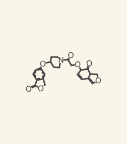 O=C1OCc2cc(OC3CCN(C(=O)COC4C=CC5=COCC5C4=O)CC3)ccc21